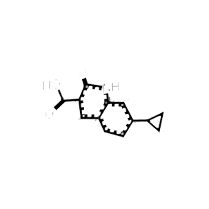 O=C(O)c1cc2ccc(C3CC3)cc2[nH]c1=O